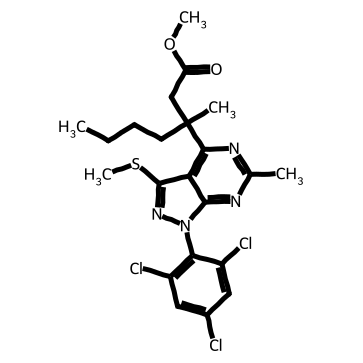 CCCCC(C)(CC(=O)OC)c1nc(C)nc2c1c(SC)nn2-c1c(Cl)cc(Cl)cc1Cl